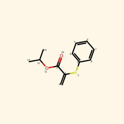 C=C(Sc1ccccc1)C(=O)OC(C)C